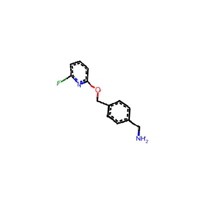 NCc1ccc(COc2cccc(F)n2)cc1